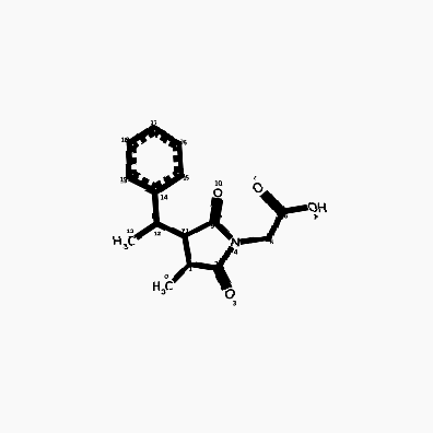 CC1C(=O)N(CC(=O)O)C(=O)C1C(C)c1ccccc1